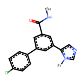 CCn1cncc1-c1cc(C(=O)NC(C)(C)C)cc(-c2ccc(Cl)cc2)c1